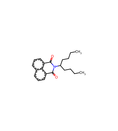 CCCCC(CCCC)N1C(=O)c2cccc3cccc(c23)C1=O